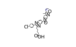 C/C=C\C1=C(C)C2(CCN(C(=O)c3ccc4nc(C5=CCC(Cl)C=C5)c(CCCCC(=O)O)nc4c3)CC2)N(C)C1=O